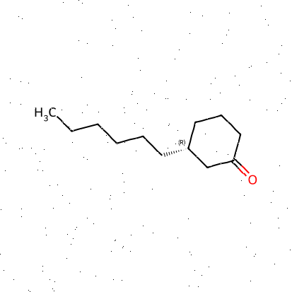 CCCCCC[C@@H]1CCCC(=O)C1